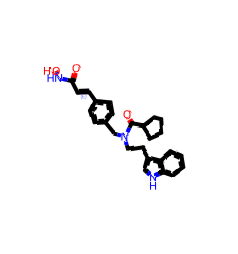 O=C(/C=C/c1ccc(CN(CCc2c[nH]c3ccccc23)C(=O)C2CCCC2)cc1)NO